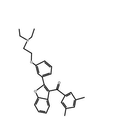 CCN(CC)CCOc1cccc(-c2oc3ccccc3c2C(=O)c2cc(C)cc(C)c2)c1